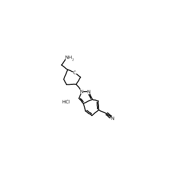 Cl.N#Cc1ccc2cn(C3CCC(CN)CC3)nc2c1